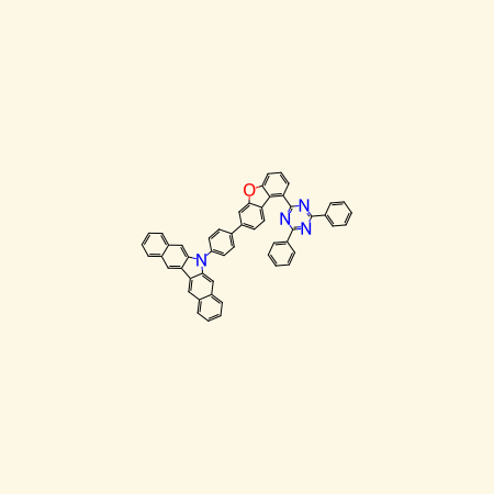 c1ccc(-c2nc(-c3ccccc3)nc(-c3cccc4oc5cc(-c6ccc(-n7c8cc9ccccc9cc8c8cc9ccccc9cc87)cc6)ccc5c34)n2)cc1